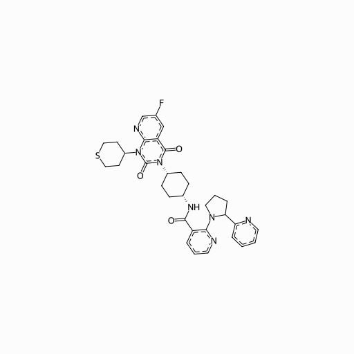 O=C(N[C@H]1CC[C@@H](n2c(=O)c3cc(F)cnc3n(C3CCSCC3)c2=O)CC1)c1cccnc1N1CCCC1c1ccccn1